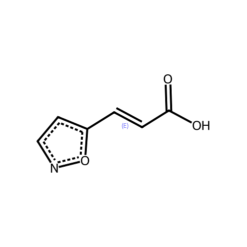 O=C(O)/C=C/c1ccno1